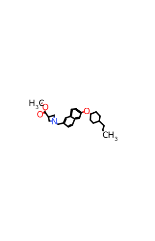 CCCC1CCC(Oc2ccc3cc(CN4CC(C(=O)OC)C4)ccc3c2)CC1